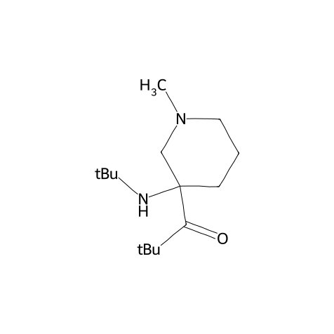 CN1CCCC(NC(C)(C)C)(C(=O)C(C)(C)C)C1